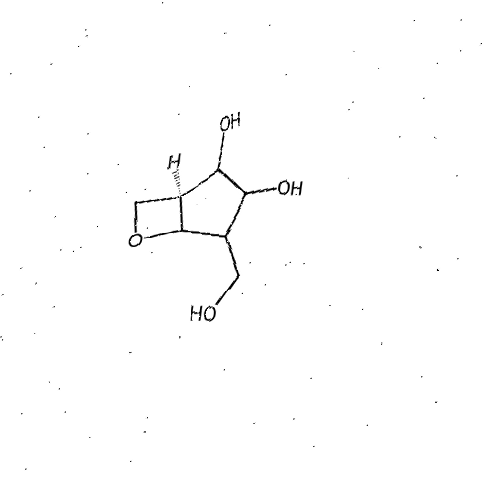 OCC1C(O)C(O)[C@@H]2COC12